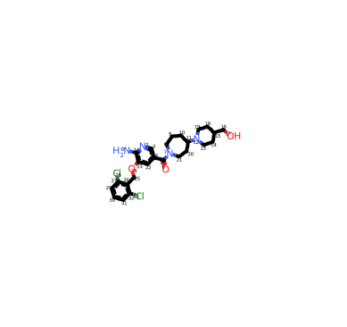 Nc1ncc(C(=O)N2CCCC(N3CCC(CO)CC3)CC2)cc1OCc1c(Cl)cccc1Cl